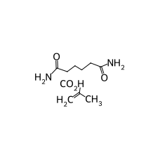 C=C(C)C(=O)O.NC(=O)CCCCC(N)=O